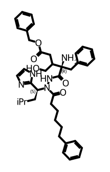 CC(C)C[C@@H](c1ncc[nH]1)N(NC(=O)[C@@](N)(Cc1ccccc1)C(CO)CC(=O)OCc1ccccc1)C(=O)CCCCCc1ccccc1